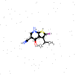 CC(C)c1c(I)sc2[nH]cc(C#N)c(=O)c12